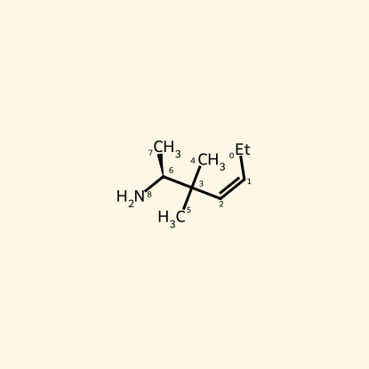 CC/C=C\C(C)(C)[C@H](C)N